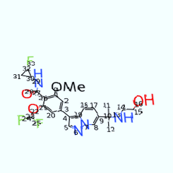 COc1cc(-c2cnn3cc(C(C)(C)NCCO)ccc23)cc(OC(F)F)c1C(=O)N[C@@H]1C[C@@H]1F